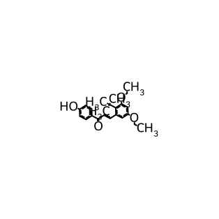 CCOc1cc(C=CC(=O)c2ccc(O)cc2)c(C(C)(C)C)c(OCC)c1